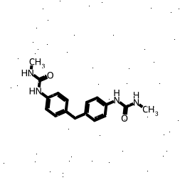 CNC(=O)Nc1ccc(Cc2ccc(NC(=O)NC)cc2)cc1